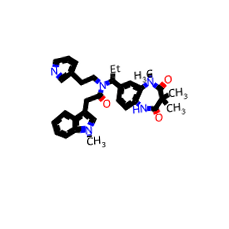 CCC(c1ccc2c(c1)N(C)C(=O)C(C)(C)C(=O)N2)N(CCc1cccnc1)C(=O)Cc1cn(C)c2ccccc12